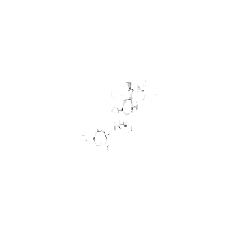 CCC1CCCN2CC1n1cc(C(=O)NCc3ccc(C)cc3F)c(=O)c(O)c1C2=O